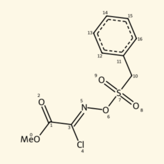 COC(=O)/C(Cl)=N/OS(=O)(=O)Cc1ccccc1